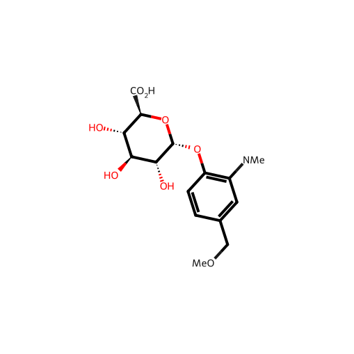 CNc1cc(COC)ccc1O[C@H]1O[C@H](C(=O)O)[C@@H](O)[C@H](O)[C@H]1O